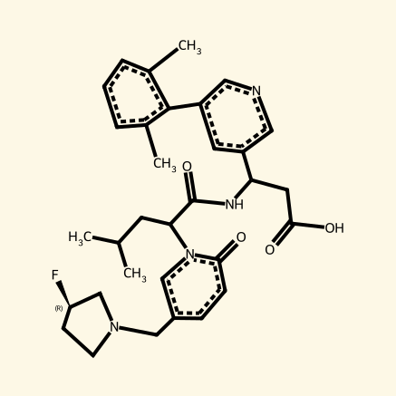 Cc1cccc(C)c1-c1cncc(C(CC(=O)O)NC(=O)C(CC(C)C)n2cc(CN3CC[C@@H](F)C3)ccc2=O)c1